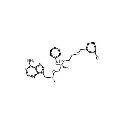 C[C@H](Cn1cnc2c(N)ncnc21)OCP(=O)(NCCOCc1cccc(Cl)c1)Oc1ccccc1